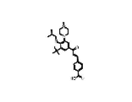 CC(C)CNc1c(N2CCN(C)CC2)cc(C(=O)C=Cc2ccc(C(=O)O)cc2)cc1C(C)(C)C